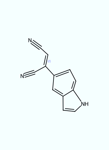 N#C/C=C(\C#N)c1ccc2[nH]ccc2c1